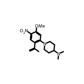 C=C(C)c1cc([N+](=O)[O-])c(OC)cc1N1CCC(N(C)C)CC1